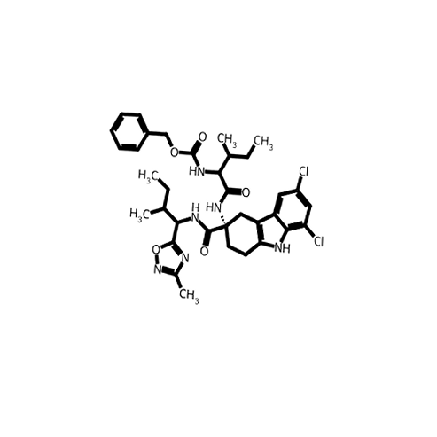 CCC(C)C(NC(=O)OCc1ccccc1)C(=O)N[C@@]1(C(=O)NC(c2nc(C)no2)C(C)CC)CCc2[nH]c3c(Cl)cc(Cl)cc3c2C1